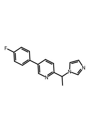 CC(c1ccc(-c2ccc(F)cc2)cn1)n1ccnc1